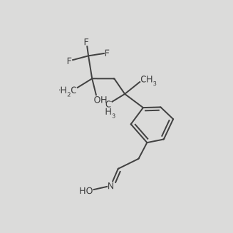 [CH2]C(O)(CC(C)(C)c1cccc(CC=NO)c1)C(F)(F)F